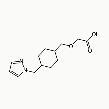 O=C(O)COCC1CCC(Cn2cccn2)CC1